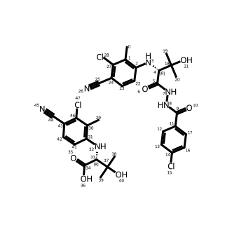 Cc1c(N[C@@H](C(=O)NNC(=O)c2ccc(Cl)cc2)C(C)(C)O)ccc(C#N)c1Cl.Cc1c(N[C@@H](C(=O)O)C(C)(C)O)ccc(C#N)c1Cl